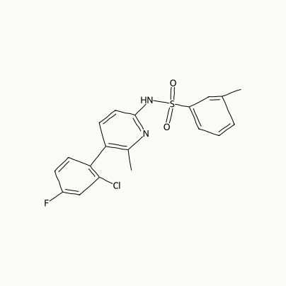 Cc1cccc(S(=O)(=O)Nc2ccc(-c3ccc(F)cc3Cl)c(C)n2)c1